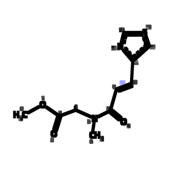 COC(=O)CN(C)C(=O)/C=C/c1cscn1